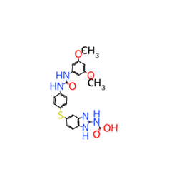 COc1cc(NC(=O)Nc2ccc(Sc3ccc4[nH]c(NC(=O)O)nc4c3)cc2)cc(OC)c1